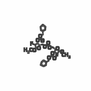 COC1O[C@H](COC(=O)OC[C@H]2OC(OC)[C@@H](F)[C@@H]2OC(=O)OCc2ccccc2)[C@@H](OC(=O)OCc2ccccc2)[C@@H]1F